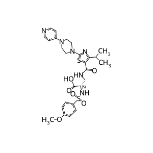 COc1ccc(S(=O)(=O)N[C@@H](CNC(=O)c2sc(N3CCN(c4ccncc4)CC3)nc2C(C)C)C(=O)O)cc1